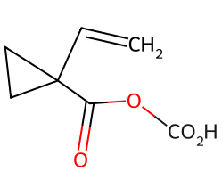 C=CC1(C(=O)OC(=O)O)CC1